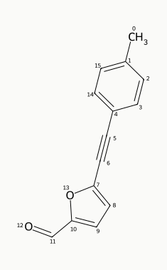 Cc1ccc(C#Cc2ccc(C=O)o2)cc1